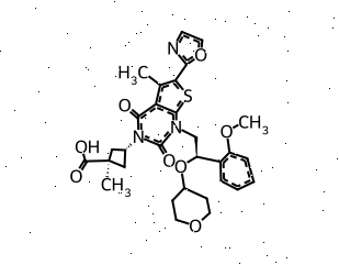 COc1ccccc1[C@H](Cn1c(=O)n([C@H]2C[C@](C)(C(=O)O)C2)c(=O)c2c(C)c(-c3ncco3)sc21)OC1CCOCC1